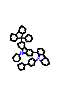 C1=CC(n2c3ccc(-c4cccc5c6ccccc6n(-c6ccc(-c7ccccc7)cc6)c45)cc3c3cc(C4(c5ccccc5)c5ccccc5-c5ccccc54)ccc32)=CCC1